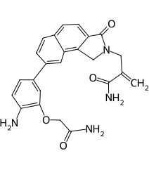 C=C(CN1Cc2c(ccc3ccc(-c4ccc(N)c(OCC(N)=O)c4)cc23)C1=O)C(N)=O